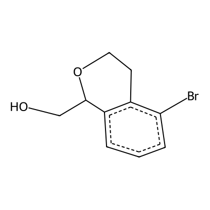 OCC1OCCc2c(Br)cccc21